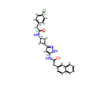 O=C(Cc1ccc2ccccc2c1)Nc1cc(C2CC(NC(=O)Cc3ccc(Cl)cc3)C2)n[nH]1